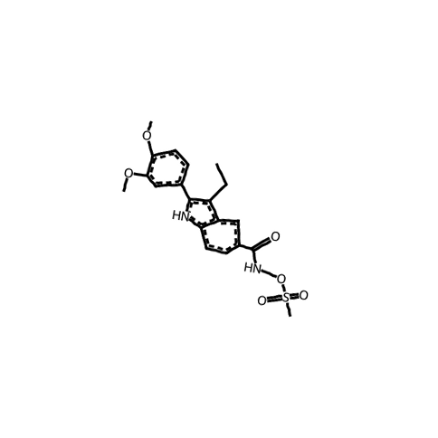 CCc1c(-c2ccc(OC)c(OC)c2)[nH]c2ccc(C(=O)NOS(C)(=O)=O)cc12